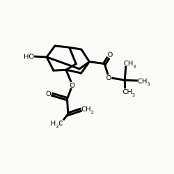 C=C(C)C(=O)OC12CC3CC(O)(C1)CC(C(=O)OC(C)(C)C)(C3)C2